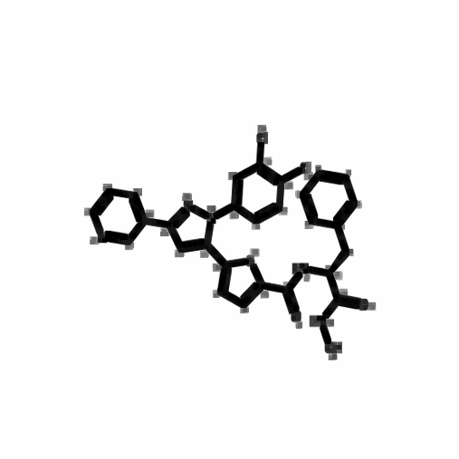 O=C(N[C@@H](Cc1ccccc1)C(=O)NO)c1ccc(-c2cc(-c3cccnc3)nn2-c2ccc(Cl)c(Cl)c2)s1